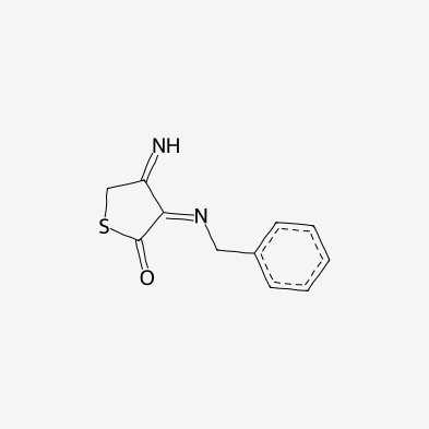 N=C1CSC(=O)C1=NCc1ccccc1